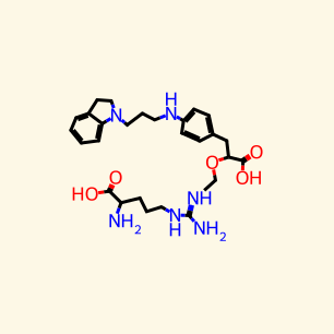 CCOC(Cc1ccc(NCCCN2CCc3ccccc32)cc1)C(=O)O.N=C(N)NCCCC(N)C(=O)O